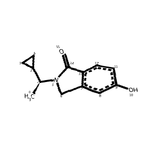 C[C@@H](C1CC1)N1Cc2cc(O)ccc2C1=O